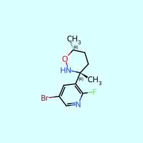 C[C@@H]1CC[C@](C)(c2cc(Br)cnc2F)NO1